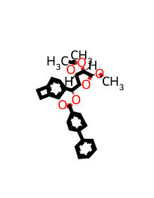 CO[C@@H]1O[C@H]([C@H](OC(=O)c2ccc(-c3ccccc3)cc2)c2ccc3c(c2)CC3)[C@H]2OC(C)(C)O[C@@H]12